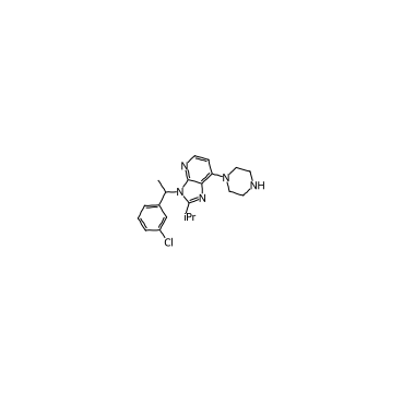 CC(C)c1nc2c(N3CCNCC3)ccnc2n1C(C)c1cccc(Cl)c1